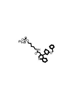 CC(C)OP(=O)(O)OCCCCCNC(=O)Cc1cnc2ccccc2c1-c1cccc(OCc2ccccc2)c1